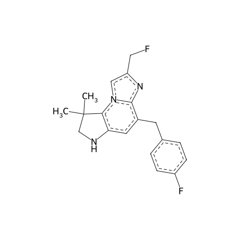 CC1(C)CNc2cc(Cc3ccc(F)cc3)c3nc(CF)cn3c21